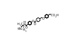 CC(C)(C)CC(C)(C)NC(=O)c1ccc(OC(=O)N2CCC(COc3ccc(CC(=O)O)cc3)CC2)cc1